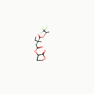 CCC(C)(CC(=O)OC1CCOC1=O)C(=O)OC(C)C(F)(F)F